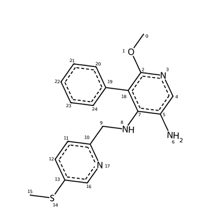 COc1ncc(N)c(NCc2ccc(SC)cn2)c1-c1ccccc1